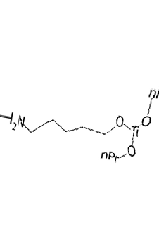 CCC[O][Ti]([O]CCC)[O]CCCCCN